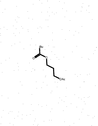 CCC(C)C(=O)OCCCOC(C)=O